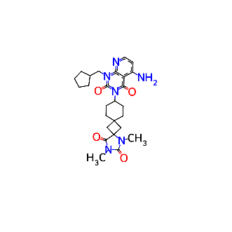 CN1C(=O)N(C)C2(CC3(CCC(n4c(=O)c5c(N)ccnc5n(CC5CCCC5)c4=O)CC3)C2)C1=O